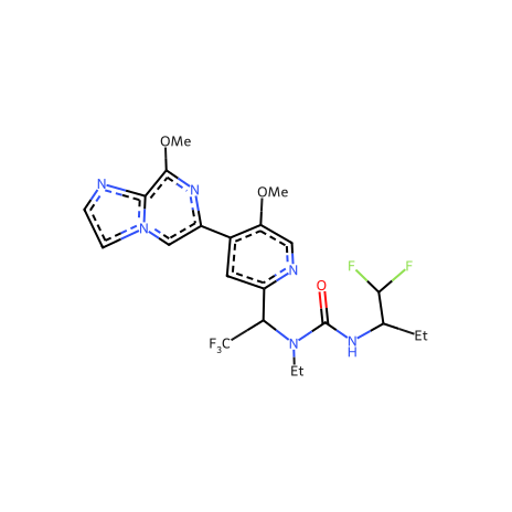 CCC(NC(=O)N(CC)C(c1cc(-c2cn3ccnc3c(OC)n2)c(OC)cn1)C(F)(F)F)C(F)F